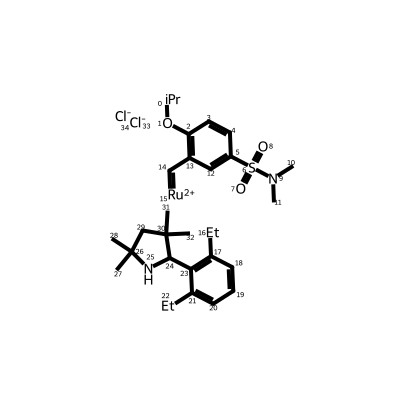 CC(C)Oc1ccc(S(=O)(=O)N(C)C)cc1[CH]=[Ru+2].CCc1cccc(CC)c1C1NC(C)(C)CC1(C)C.[Cl-].[Cl-]